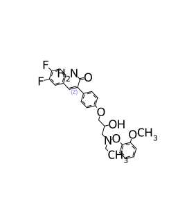 CCN(CC(O)COc1ccc(/C(=C/c2ccc(F)c(F)c2)C(N)=O)cc1)Oc1ccccc1OC